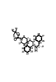 C[C@H](N[C@H]1CCC2(CCN(C(=O)OC(C)(C)C)CC2)c2ccccc21)c1ccccc1